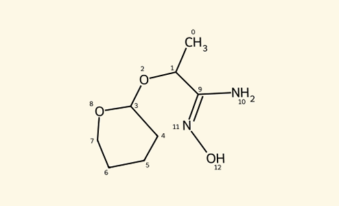 CC(OC1CCCCO1)C(N)=NO